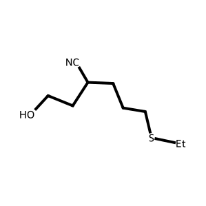 CCSCCCC(C#N)CCO